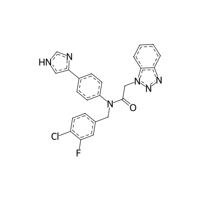 O=C(Cn1nnc2ccccc21)N(Cc1ccc(Cl)c(F)c1)c1ccc(-c2c[nH]cn2)cc1